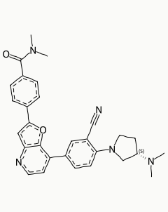 CN(C)C(=O)c1ccc(-c2cc3nccc(-c4ccc(N5CC[C@H](N(C)C)C5)c(C#N)c4)c3o2)cc1